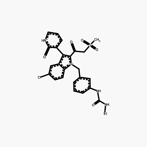 CCNC(=O)Nc1cccc(Cn2c(C(=O)CS(C)(=O)=O)c(-c3ccc[nH]c3=O)c3cc(Cl)ccc32)c1